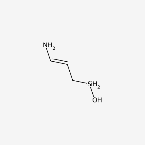 NC=CC[SiH2]O